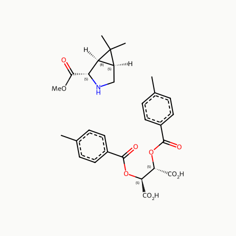 COC(=O)[C@H]1NC[C@H]2[C@@H]1C2(C)C.Cc1ccc(C(=O)O[C@H](C(=O)O)[C@H](OC(=O)c2ccc(C)cc2)C(=O)O)cc1